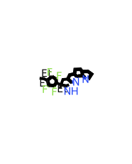 CCC(C)(CC)c1c(F)c(F)c(C(CC)(Cc2cnc3c(ccc4cccnc43)c2)C(C)=N)c(F)c1F